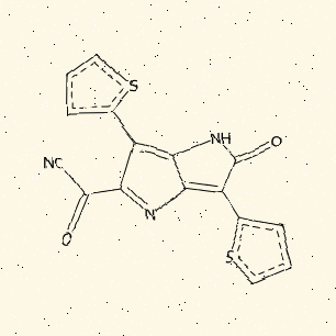 N#CC(=O)C1=NC2=C(c3cccs3)C(=O)NC2=C1c1cccs1